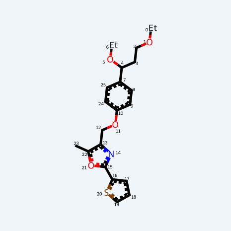 CCOCCC(OCC)c1ccc(OCc2nc(-c3cccs3)oc2C)cc1